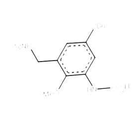 COc1c(CNC(C)=O)cc(C(C)(C)C)cc1NC(=O)O